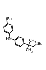 CC(C)(C)CC(C)(C)c1ccc(Nc2ccc(C(C)(C)C)cc2)cc1